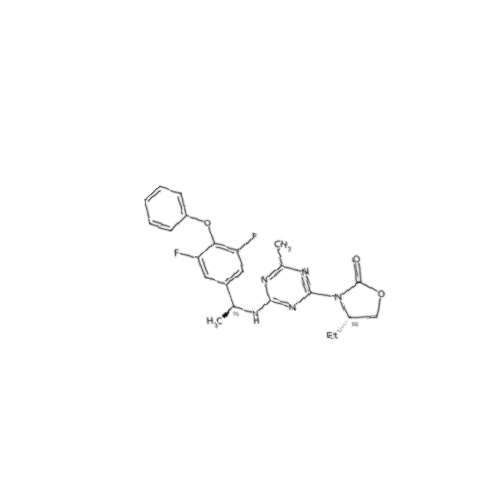 CC[C@H]1COC(=O)N1c1nc(C)nc(N[C@@H](C)c2cc(F)c(Oc3ccccc3)c(F)c2)n1